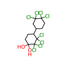 OC1(O)CCC(C2CCC(Cl)(Cl)C(Cl)(Cl)C2)C(Cl)(Cl)C1(Cl)Cl